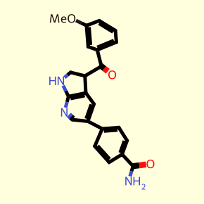 COc1cccc(C(=O)C2CNc3ncc(-c4ccc(C(N)=O)cc4)cc32)c1